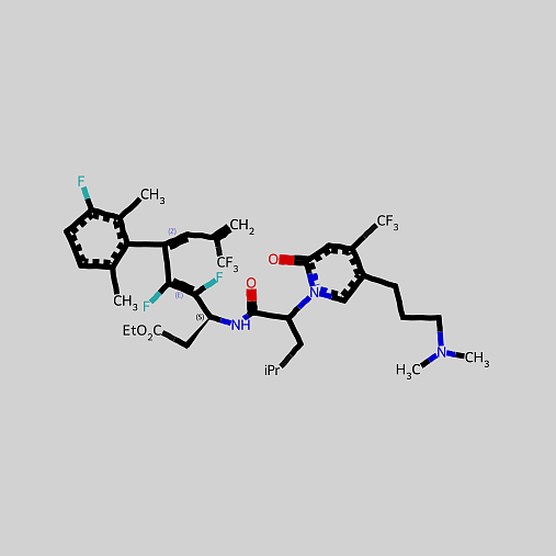 C=C(/C=C(\C(F)=C(/F)[C@H](CC(=O)OCC)NC(=O)C(CC(C)C)n1cc(CCCN(C)C)c(C(F)(F)F)cc1=O)c1c(C)ccc(F)c1C)C(F)(F)F